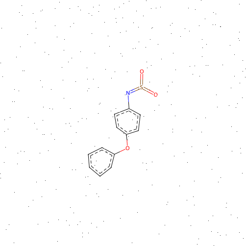 O=S(=O)=Nc1ccc(Oc2ccccc2)cc1